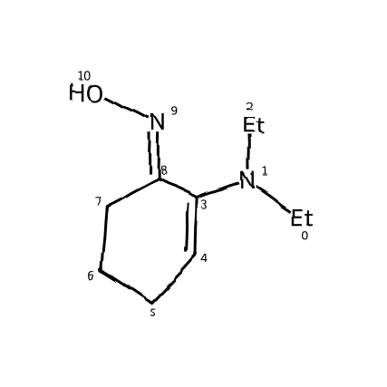 CCN(CC)C1=CCCCC1=NO